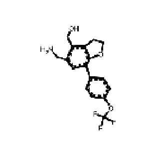 NCc1cc(-c2ccc(OC(F)(F)F)cc2)c2c(c1CO)CCO2